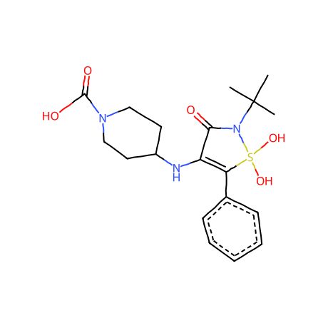 CC(C)(C)N1C(=O)C(NC2CCN(C(=O)O)CC2)=C(c2ccccc2)S1(O)O